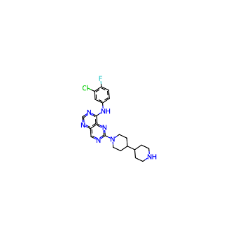 Fc1ccc(Nc2ncnc3cnc(N4CCC(C5CCNCC5)CC4)nc23)cc1Cl